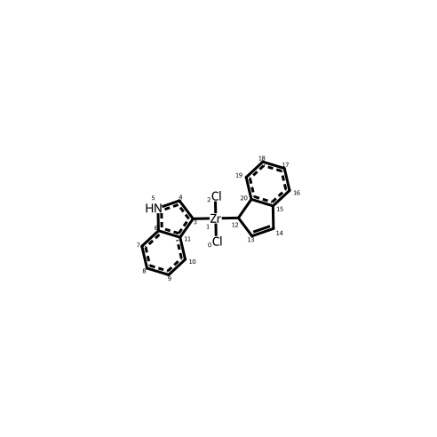 [Cl][Zr]([Cl])([c]1c[nH]c2ccccc12)[CH]1C=Cc2ccccc21